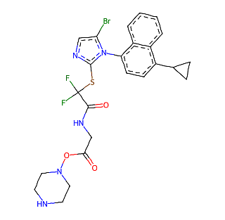 O=C(CNC(=O)C(F)(F)Sc1ncc(Br)n1-c1ccc(C2CC2)c2ccccc12)ON1CCNCC1